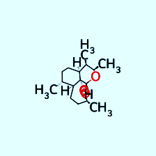 C[C@H]1[C@@H](C)O[C@@H]2O[C@@]3(C)CC[C@H]4[C@H](C)CC[C@@H]1[C@@]24OO3